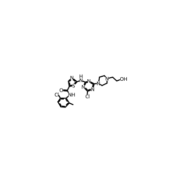 Cc1cccc(Cl)c1NC(=O)c1cnc(Nc2nc(Cl)nc(N3CCN(CCO)CC3)n2)s1